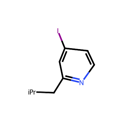 CC(C)Cc1cc(I)ccn1